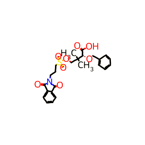 CC(C)(COS(=O)(=O)CCCN1C(=O)c2ccccc2C1=O)[C@@H](OCc1ccccc1)C(=O)O